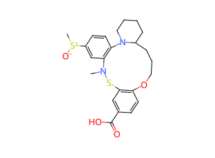 CN1Sc2cc(C(=O)O)ccc2OCCCC2CCCCN2c2ccc([S+](C)[O-])cc21